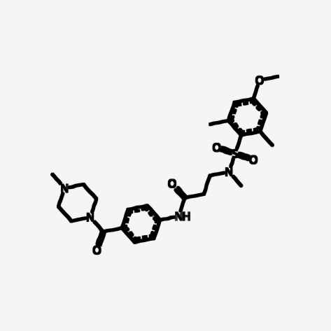 COc1cc(C)c(S(=O)(=O)N(C)CCC(=O)Nc2ccc(C(=O)N3CCN(C)CC3)cc2)c(C)c1